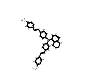 Cc1ccc(/C=C/c2ccc(N(c3ccc(/C=C/c4ccc(C)cc4)cc3)c3cccc4c3CCCC4)cc2)cc1